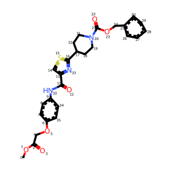 COC(=O)COc1ccc(NC(=O)c2csc(C3CCN(C(=O)OCc4ccccc4)CC3)n2)cc1